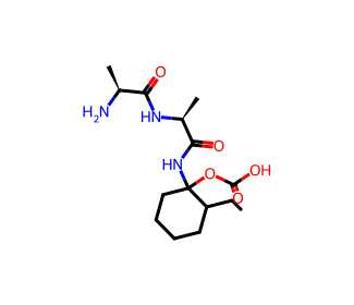 CCC1CCCCC1(NC(=O)[C@H](C)NC(=O)[C@H](C)N)OC(=O)O